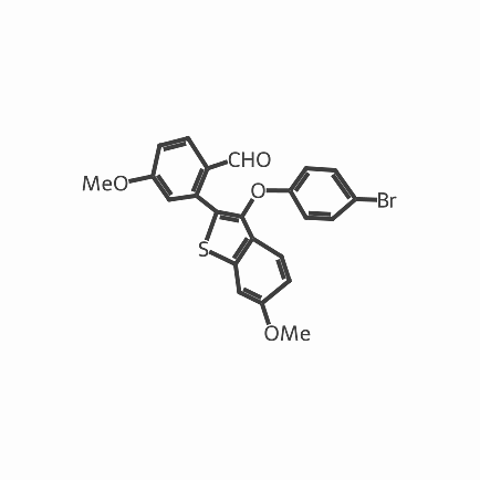 COc1ccc(C=O)c(-c2sc3cc(OC)ccc3c2Oc2ccc(Br)cc2)c1